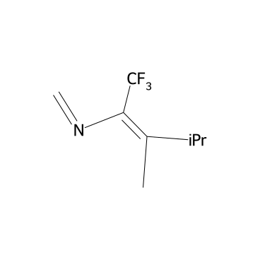 C=N/C(=C(\C)C(C)C)C(F)(F)F